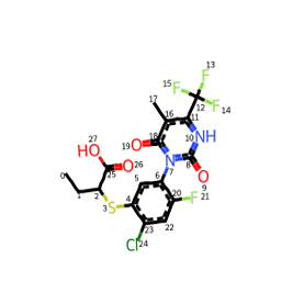 CCC(Sc1cc(-n2c(=O)[nH]c(C(F)(F)F)c(C)c2=O)c(F)cc1Cl)C(=O)O